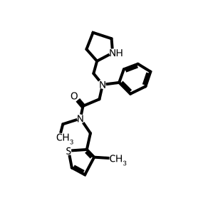 CCN(Cc1sccc1C)C(=O)CN(CC1CCCN1)c1ccccc1